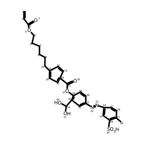 C=CC(=O)OCCCCCCc1ccc(C(=O)Oc2ccc(/N=N/c3ccc(C)c(S(=O)(=O)O)c3)cc2C(O)O)cc1